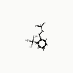 CC(C)CCc1cc[c]cc1C(F)(F)F